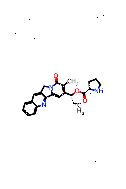 CC[C@@H](OC(=O)[C@H]1CCCN1)c1cc2n(c(=O)c1C)Cc1cc3ccccc3nc1-2